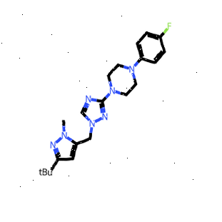 Cn1nc(C(C)(C)C)cc1Cn1cnc(N2CCN(c3ccc(F)cc3)CC2)n1